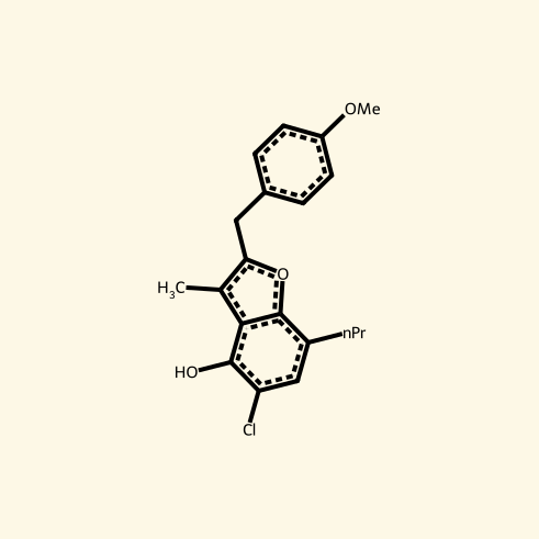 CCCc1cc(Cl)c(O)c2c(C)c(Cc3ccc(OC)cc3)oc12